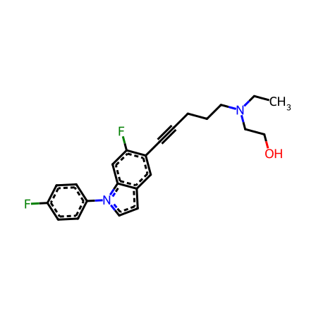 CCN(CCO)CCCC#Cc1cc2ccn(-c3ccc(F)cc3)c2cc1F